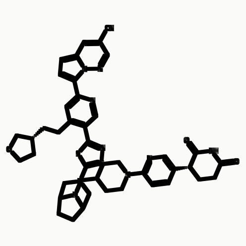 N#Cc1cnn2c(-c3cc(CC[C@@H]4CCOC4)c(-c4nnc(N5CC6CCC(C5)N6CC5CCN(c6ccc([C@H]7CCC(=O)NC7=O)cn6)CC5)s4)cn3)ccc2c1